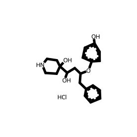 Cl.Oc1ccc(OC(Cc2ccccc2)CC(O)C2(O)CCNCC2)cc1